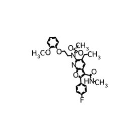 CCc1cc2c(C(=O)NC)c(-c3ccc(F)cc3)oc2nc1N(CCOc1ccccc1OC)S(C)(=O)=O